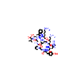 CC(C)C[C@H](NC(=O)[C@@H](N)CCCCN)C(=O)N[C@@H](CCCCN)C(=O)N[C@@H](Cc1c[nH]cn1)C(=O)N[C@@H](Cc1ccc(O)cc1)C(=O)NCC(=O)N1CCC[C@H]1C(=O)NCC(=O)N[C@@H](Cc1c[nH]c2ccccc12)C(=O)N[C@H](C(=O)O)C(C)C